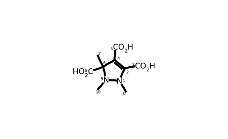 CN1C(C(=O)O)=C(C(=O)O)C(C)(C(=O)O)N1C